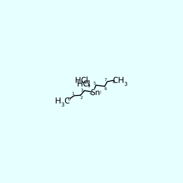 CCC[CH2][Sn][CH2]CCC.Cl.Cl